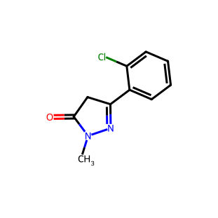 CN1N=C(c2ccccc2Cl)CC1=O